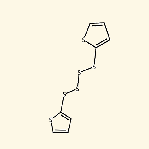 c1csc(SSSSc2cccs2)c1